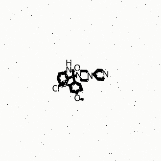 COc1ccc(C2(N3CCN(c4ccncc4)CC3)C(=O)Nc3ccc(Cl)cc32)c(OC)c1